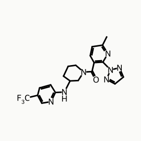 Cc1ccc(C(=O)N2CCCC(Nc3ccc(C(F)(F)F)cn3)C2)c(-n2nccn2)n1